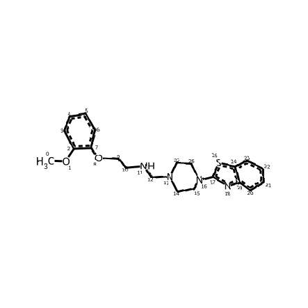 COc1ccccc1OCCNCN1CCN(c2nc3ccccc3s2)CC1